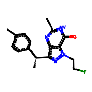 Cc1ccc([C@@H](C)c2nn(CCF)c3c(=O)[nH]c(C)nc23)cc1